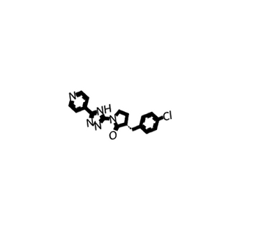 O=C1[C@@H](Cc2ccc(Cl)cc2)CCN1c1nnc(-c2ccncc2)[nH]1